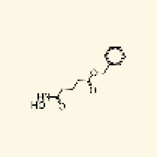 O=C(CCCC(=O)OCc1ccccc1)NO